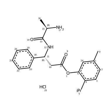 Cc1ccc(C(C)C)c(OC(=O)C[C@@H](NC(=O)[C@@H](C)N)c2ccccc2)c1.Cl